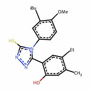 CCc1cc(-c2nnc(S)n2-c2ccc(OC)c(C(C)CC)c2)c(O)cc1C